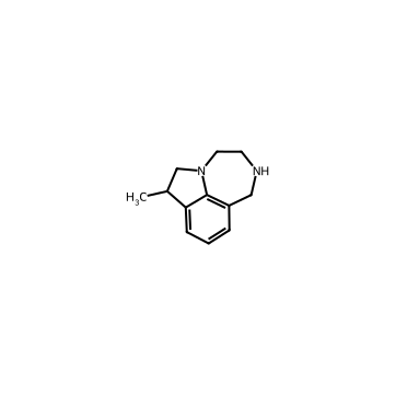 CC1CN2CCNCc3cccc1c32